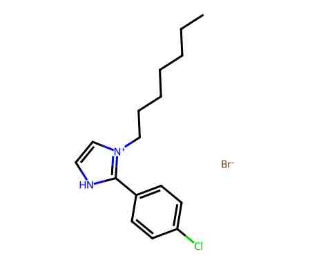 CCCCCCC[n+]1cc[nH]c1-c1ccc(Cl)cc1.[Br-]